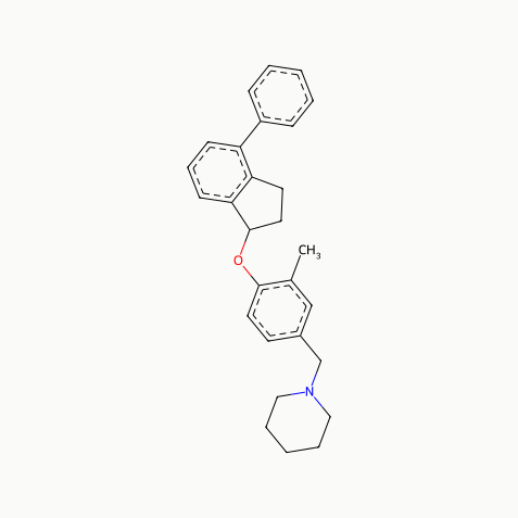 Cc1cc(CN2CCCCC2)ccc1OC1CCc2c(-c3ccccc3)cccc21